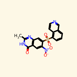 Cc1nc2cc(S(=O)(=O)c3cccc4cnccc34)c([N+](=O)[O-])cc2c(=O)[nH]1